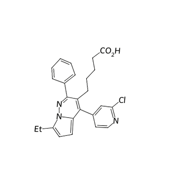 CCc1ccc2c(-c3ccnc(Cl)c3)c(CCCCC(=O)O)c(-c3ccccc3)nn12